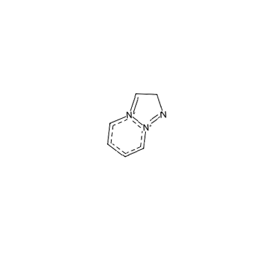 C1=[n+]2cccc[n+]2=NC1